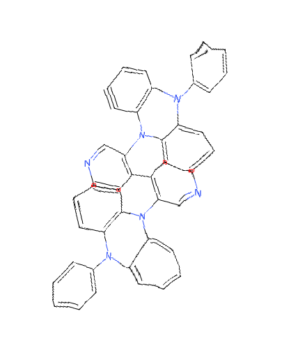 c1ccc2c(c#1)N(c1cnc#cc1C1=C(N3C4=C(C=CCC4)N(c4ccccc4)c4ccccc43)C=NCC1)c1ccccc1N2c1ccccc1